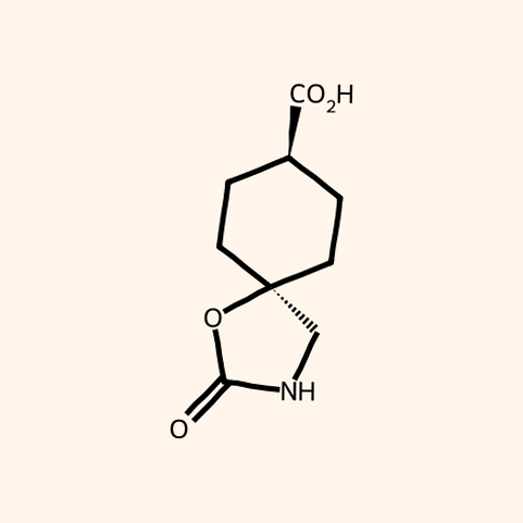 O=C1NC[C@]2(CC[C@H](C(=O)O)CC2)O1